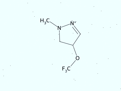 CN1CC(OC(F)(F)F)C=[N+]1